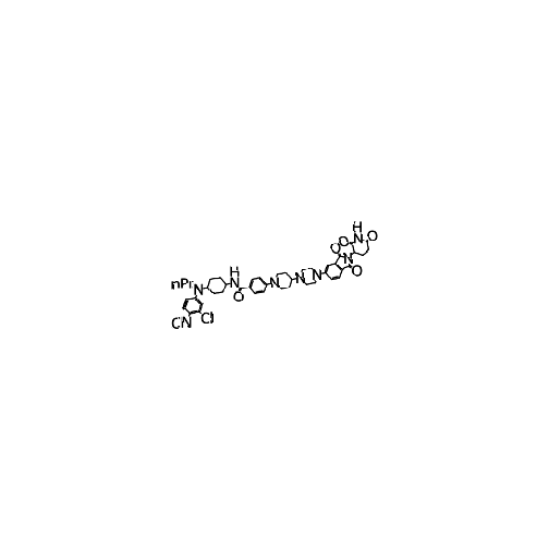 CCCN(c1ccc(C#N)c(Cl)c1)C1CCC(NC(=O)c2ccc(N3CCC(N4CCN(c5ccc6c(c5)C(=O)N(C5CCC(=O)NC5=O)C6=O)CC4)CC3)cc2)CC1